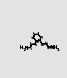 NCCCC1CCCCN1CCCN